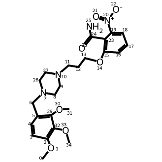 COc1ccc(CN2CCN(CCCOc3cccc([N+](=O)[O-])c3C(N)=O)CC2)c(OC)c1OC